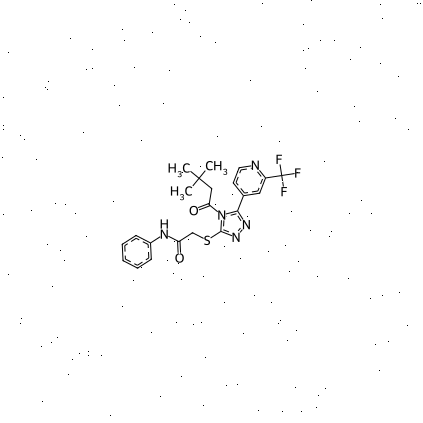 CC(C)(C)CC(=O)n1c(SCC(=O)Nc2ccccc2)nnc1-c1ccnc(C(F)(F)F)c1